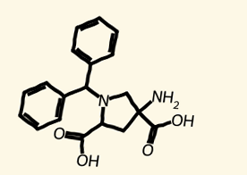 NC1(C(=O)O)CC(C(=O)O)N(C(c2ccccc2)c2ccccc2)C1